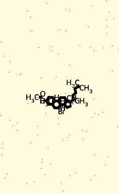 CC(=O)OC1=CC[C@@]2(C)C(C1)CC(Br)[C@H]1[C@@H]3CC[C@H]([C@H](C)CCCC(C)C)[C@@]3(C)CC[C@@H]12